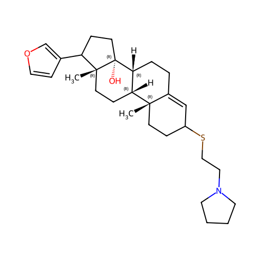 C[C@]12CCC(SCCN3CCCC3)C=C1CC[C@@H]1[C@H]2CC[C@]2(C)C(c3ccoc3)CC[C@@]12O